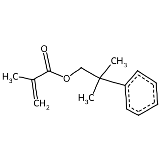 C=C(C)C(=O)OCC(C)(C)c1ccccc1